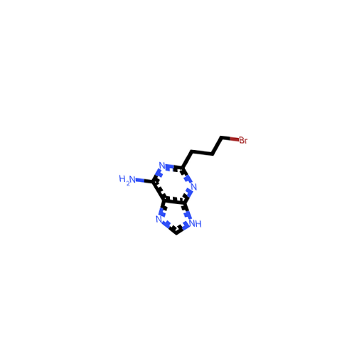 Nc1nc(CCCBr)nc2[nH]cnc12